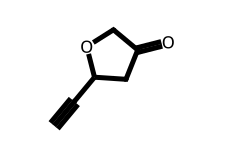 C#CC1CC(=O)CO1